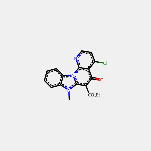 CCOC(=O)c1c(=O)c2c(Cl)ccnc2n2c3ccccc3n(C)c12